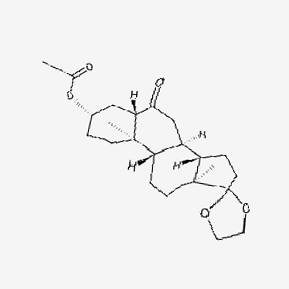 CC(=O)O[C@H]1CC[C@@]2(C)[C@H](C1)C(=O)C[C@@H]1[C@@H]2CC[C@@]2(C)[C@H]1CCC21OCCO1